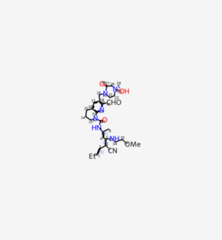 CC/C=C/C(C#N)=C(\C=C(/C)NC(=O)N1CCCc2cc(CN3CC[N+](C)(O)CC3=O)c(C=O)nc21)NCCOC